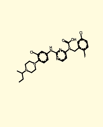 CCC(C)N1CCN(c2ccc(Nc3nccc(N(Cc4cc(Cl)ccc4F)C(=O)O)n3)cc2Cl)CC1